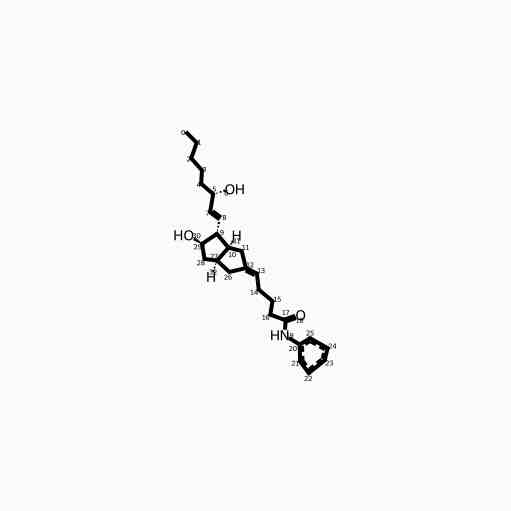 CCCCC[C@H](O)/C=C/[C@@H]1[C@H]2C/C(=C/CCCC(=O)Nc3ccccc3)C[C@H]2C[C@H]1O